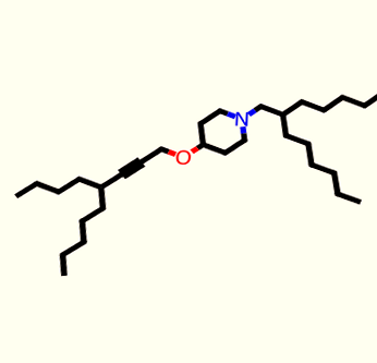 CCCCCCC(CCCCC)CN1CCC(OCC#CC(CCCC)CCCCC)CC1